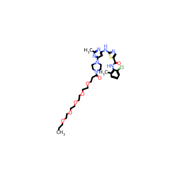 CCCOCCOCCOCCOCCOCCC(=O)N1CCN(c2cc(Nc3ncc(C(=O)Nc4c(C)cccc4Cl)s3)nc(C)n2)CC1